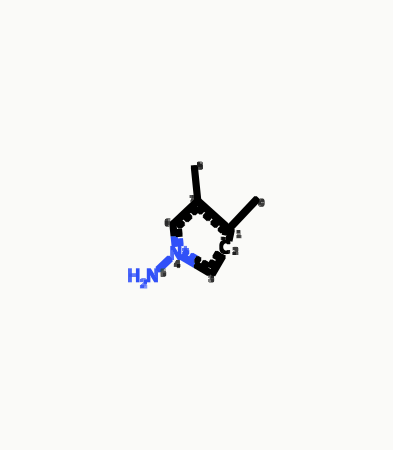 Cc1cc[n+](N)cc1C